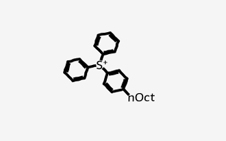 CCCCCCCCc1ccc([S+](c2ccccc2)c2ccccc2)cc1